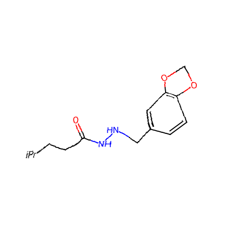 CC(C)CCC(=O)NNCc1ccc2c(c1)OCO2